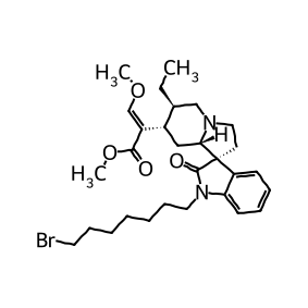 CC[C@H]1CN2CC[C@]3(C(=O)N(CCCCCCCBr)c4ccccc43)[C@@H]2C[C@@H]1/C(=C\OC)C(=O)OC